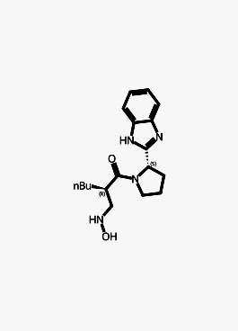 CCCC[C@H](CNO)C(=O)N1CCC[C@H]1c1nc2ccccc2[nH]1